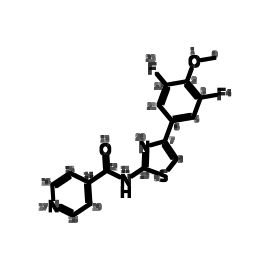 COc1c(F)cc(-c2csc(NC(=O)c3ccncc3)n2)cc1F